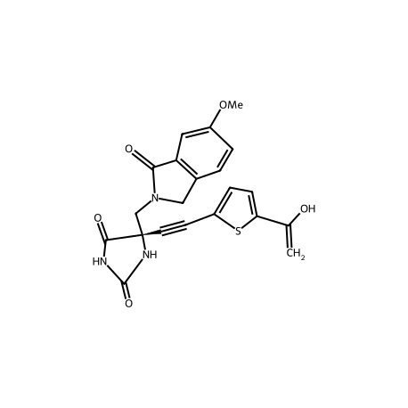 C=C(O)c1ccc(C#C[C@@]2(CN3Cc4ccc(OC)cc4C3=O)NC(=O)NC2=O)s1